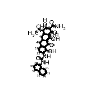 CN(C)C1C(O)=C(C(N)=O)C(=O)C2(O)C(O)=C3C(=O)c4c(ccc(NC(=O)Nc5cccc6ccccc56)c4O)CC3CC12